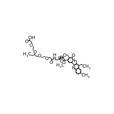 CCc1c2c(nc3ccc(C)cc13)-c1cc3c(c(=O)n1C2)COC(=O)[C@@]3(CC)OC(=O)CNC(=O)COCCOCC(CC)OCCOCC(=O)O